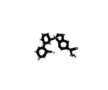 NC(=O)c1ccc2c(c1)ncn2-c1cccc(-c2ccncc2F)c1